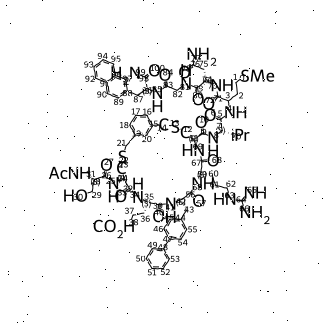 CSCCC(NC(=O)[C@@H](NC(=O)[C@@H]1CSCc2cccc(c2)CSC[C@H](NC(=O)[C@H](CO)NC(C)=O)C(=O)N[C@@H](CCC(=O)O)C(=O)N[C@@H](Cc2ccc(-c3ccccc3)cc2)C(=O)N[C@@H](CCCNC(=N)N)C(=O)N1)C(C)C)C(=O)N[C@@H](CC(N)=O)C(=O)NCC(=O)N[C@@H](Cc1ccc2ccccc2c1)C(N)=O